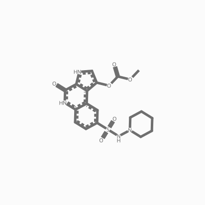 COC(=O)Oc1c[nH]c2c(=O)[nH]c3ccc(S(=O)(=O)NN4CCCCC4)cc3c12